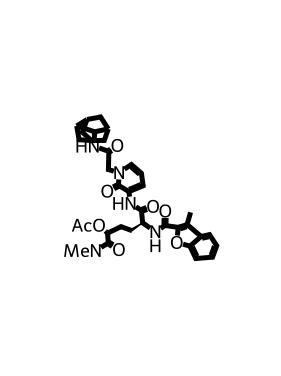 CNC(=O)C(CC[C@H](NC(=O)c1oc2ccccc2c1C)C(=O)Nc1cccn(CC(=O)NC2C3CC4CC(C3)C2C4)c1=O)OC(C)=O